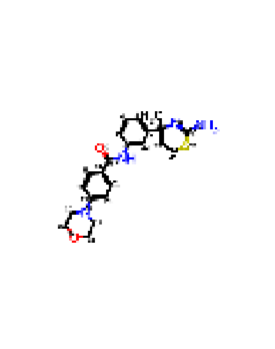 CC1(c2cccc(NC(=O)c3ccc(N4CCOCC4)cc3)c2)CCSC(N)=N1